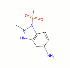 CN1Nc2cc(N)ccc2N1S(C)(=O)=O